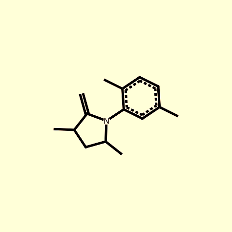 C=C1C(C)CC(C)N1c1cc(C)ccc1C